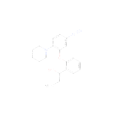 COCC(O)c1ccccc1Oc1cc([N+]#N)ccc1N1CCCCC1